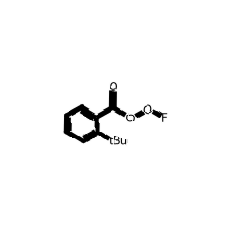 CC(C)(C)c1ccccc1C(=O)OOF